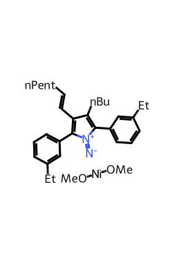 CCCCCC=CC1=C(c2cccc(CC)c2)[N+](=[N-])C(c2cccc(CC)c2)=C1CCCC.C[O][Ni][O]C